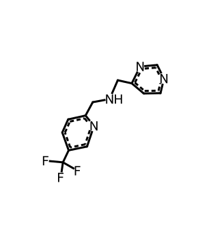 FC(F)(F)c1ccc(CNCc2ccncn2)nc1